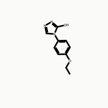 CCOc1ccc(-n2[c]nnc2O)cc1